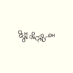 Cc1cc(N2C[C@H](CNC(=O)c3ccc(Cl)s3)CC2=O)cc(C)c1-n1cccc(CCO)c1=O